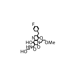 COCC1Cn2c(=O)c(C(=O)NCCO)c(O)c3ncc(CC4C=CC(F)=CC4)c(c32)O1